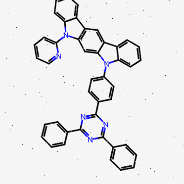 c1ccc(-c2nc(-c3ccccc3)nc(-c3ccc(-n4c5ccccc5c5cc6c7ccccc7n(-c7ccccn7)c6cc54)cc3)n2)cc1